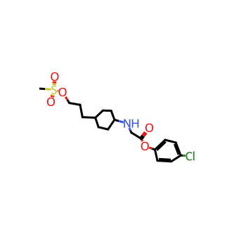 CS(=O)(=O)OCCCC1CCC(NCC(=O)Oc2ccc(Cl)cc2)CC1